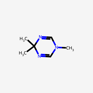 CN1C=NC(C)(C)N=C1